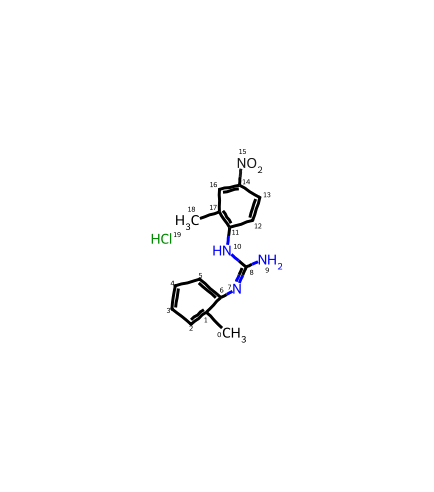 Cc1ccccc1N=C(N)Nc1ccc([N+](=O)[O-])cc1C.Cl